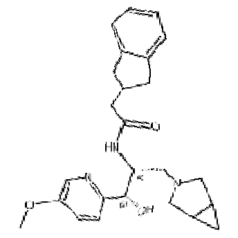 COc1ccc([C@@H](O)[C@@H](CN2CC3CC3C2)NC(=O)CC2Cc3ccccc3C2)nc1